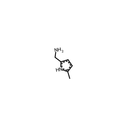 Cc1ccc(CN)[nH]1